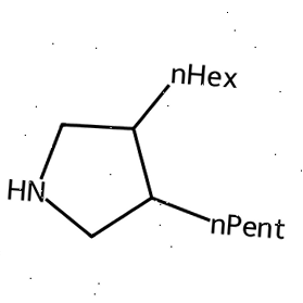 CCCCCCC1CNCC1CCCCC